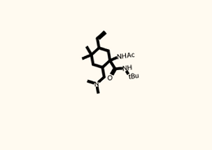 C=CC1CC(NC(C)=O)(C(=O)NC(C)(C)C)C(CN(C)C)CC1(C)C